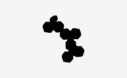 C=Cn1c2ccccc2c2cc(-c3ccc4c(c3)c3ccccc3n4-c3ccc4c(c3)c3ccccc3n4-c3ccccc3)ccc21